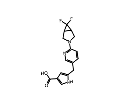 O=C(O)c1c[nH]c(Cc2ccc(N3CC4C(C3)C4(F)F)nc2)c1